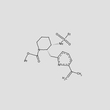 C=C(C)c1cccc(C[C@H]2[C@@H](NS(=O)(=O)CC)CCCN2C(=O)OC(C)C)n1